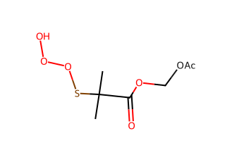 CC(=O)OCOC(=O)C(C)(C)SOOO